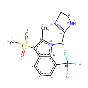 Cc1c(S(C)(=O)=O)c2cccc(C(F)(F)F)c2n1CC1=NCCN1